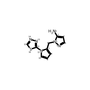 Nc1ccnn1Cc1cccn1-c1nncs1